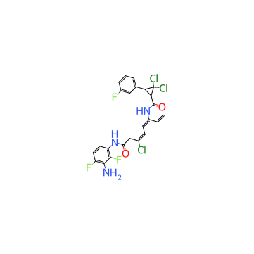 C=C/C(=C\C=C(\Cl)CC(=O)Nc1ccc(F)c(N)c1F)NC(=O)C1C(c2cccc(F)c2)C1(Cl)Cl